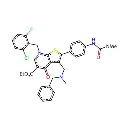 CCOC(=O)c1cn(Cc2c(F)cccc2Cl)c2sc(-c3ccc(NC(=O)NC)cc3)c(CN(C)Cc3ccccc3)c2c1=O